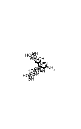 CC=C(CO)CC12N=CN=C(N)C1=NC=N2.O=P(O)(O)O.O=P(O)(O)O.O=P(O)(O)O